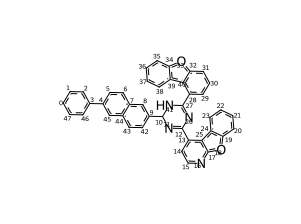 c1ccc(-c2ccc3cc(C4N=C(c5ccnc6oc7ccccc7c56)N=C(c5cccc6oc7ccccc7c56)N4)ccc3c2)cc1